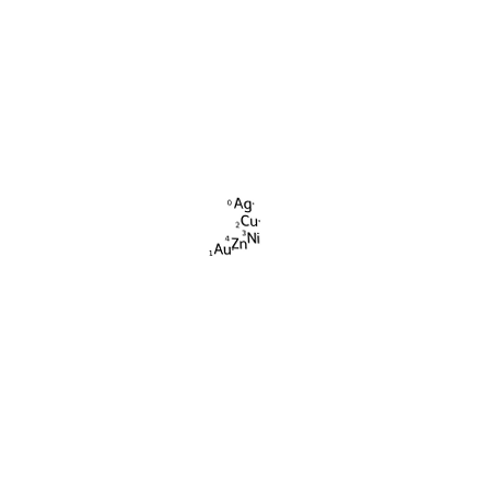 [Ag].[Au].[Cu].[Ni].[Zn]